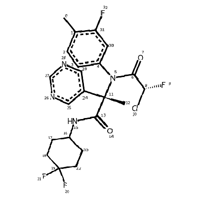 Cc1ccc(N(C(=O)[C@H](F)Cl)[C@](C)(C(=O)NC2CCC(F)(F)CC2)c2cncnc2)cc1F